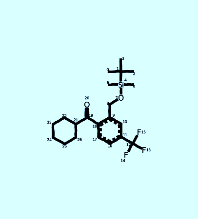 CC(C)(C)[Si](C)(C)OCc1cc(C(F)(F)F)ccc1C(=O)C1CCCCC1